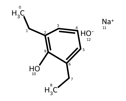 CCc1cccc(CC)c1O.[Na+].[OH-]